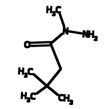 CN(N)C(=O)CC(C)(C)C